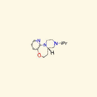 CC(C)N1CCN2c3ncccc3OCC[C@H]2C1